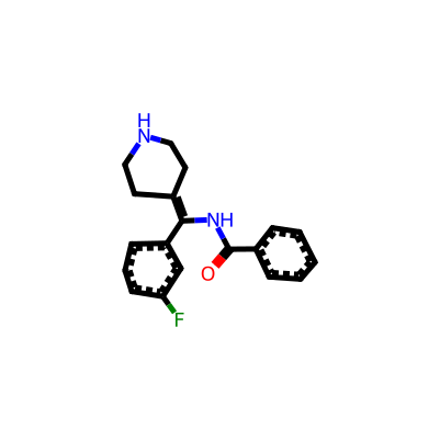 O=C(NC(=C1CCNCC1)c1cccc(F)c1)c1ccccc1